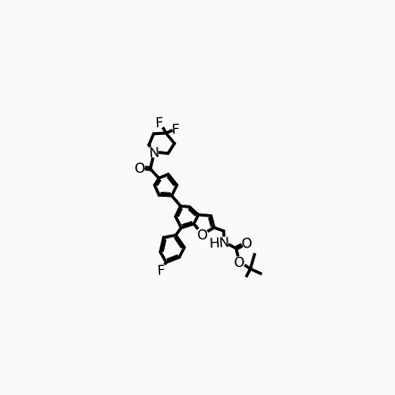 CC(C)(C)OC(=O)NCc1cc2cc(-c3ccc(C(=O)N4CCC(F)(F)CC4)cc3)cc(-c3ccc(F)cc3)c2o1